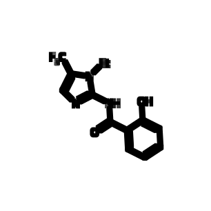 CCn1c(C(F)(F)F)cnc1NC(=O)c1ccccc1O